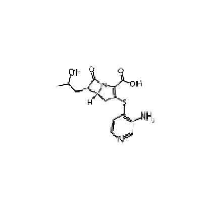 CC(O)C[C@H]1C(=O)N2C(C(=O)O)=C(Sc3ccncc3N)C[C@H]12